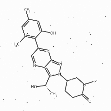 Cc1cc(C(F)(F)F)cc(O)c1-c1cnc2c([C@H](C)O)n(C3CCC(=O)N(C(C)C)C3)nc2n1